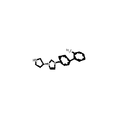 Cc1ccccc1-c1ccc(N2C=CN([C@H]3CCNC3)C2)cc1